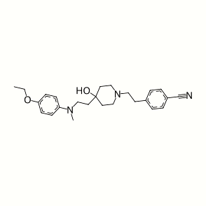 CCOc1ccc(N(C)CCC2(O)CCN(CCc3ccc(C#N)cc3)CC2)cc1